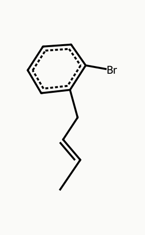 CC=CCc1ccccc1Br